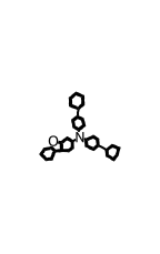 c1ccc(-c2ccc(N(c3ccc(-c4ccccc4)cc3)c3ccc4c(c3)oc3ccccc34)cc2)cc1